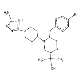 CC(C)(O)C1CN(C2CCN(c3nnc(N)[nH]3)CC2)C(Cc2ccc(Br)cc2)CO1